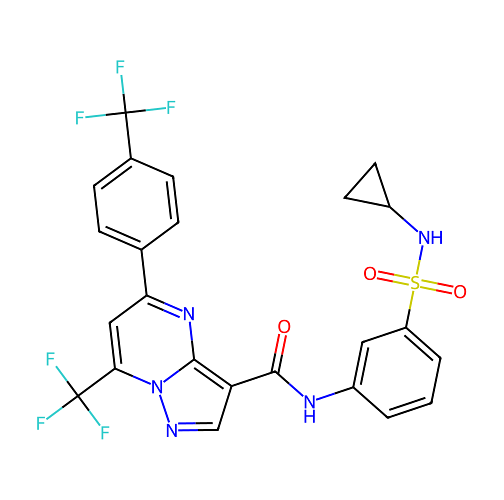 O=C(Nc1cccc(S(=O)(=O)NC2CC2)c1)c1cnn2c(C(F)(F)F)cc(-c3ccc(C(F)(F)F)cc3)nc12